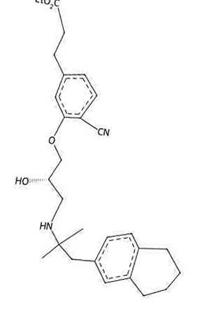 CCOC(=O)CCc1ccc(C#N)c(OC[C@@H](O)CNC(C)(C)Cc2ccc3c(c2)CCCC3)c1